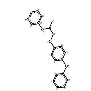 CC(COc1ccc(Oc2ccccc2)cc1)Oc1cccnc1